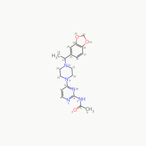 CC(=O)Nc1nccc(N2CCN(C(C)c3ccc4c(c3)OCO4)CC2)n1